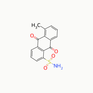 Cc1cccc2c1C(=O)c1cccc(S(N)(=O)=O)c1C2=O